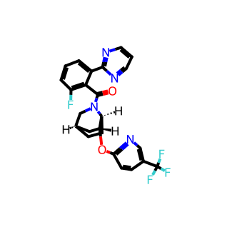 O=C(c1c(F)cccc1-c1ncccn1)N1C[C@@H]2CC[C@H]1[C@H](Oc1ccc(C(F)(F)F)cn1)C2